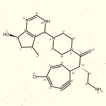 CC1C[C@@H](O)C2=C1C(N1CCN(C(=O)[C@H](CCN)C3C#CC=C(Cl)C=C3)CC1)NC=N2